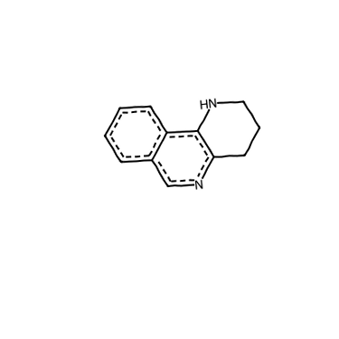 c1ccc2c3c(ncc2c1)CCCN3